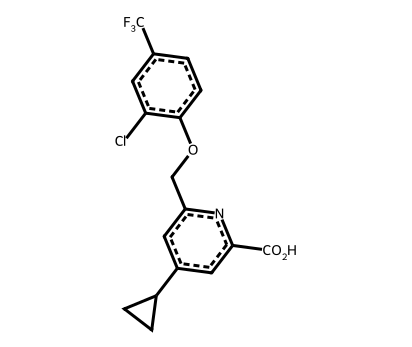 O=C(O)c1cc(C2CC2)cc(COc2ccc(C(F)(F)F)cc2Cl)n1